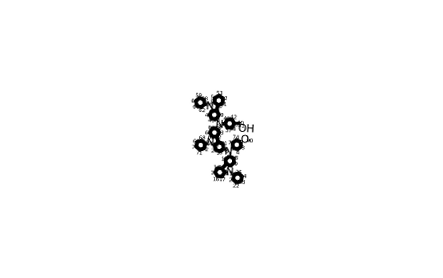 COc1ccc(N(c2ccc3c(c2)c2ccccc2n3-c2ccccc2)c2ccc3c(c2)c2cc(N(c4ccc(CO)cc4)c4ccc5c(c4)c4ccccc4n5-c4ccccc4)ccc2n3-c2ccccc2)cc1